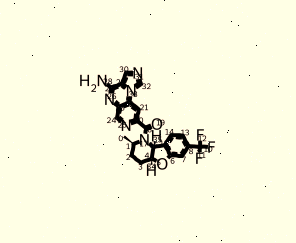 C[C@@H]1CC[C@@H]2Oc3cc(C(F)(F)F)ccc3[C@@H]2N1C(=O)c1cc2c(cn1)nc(N)c1cncn12